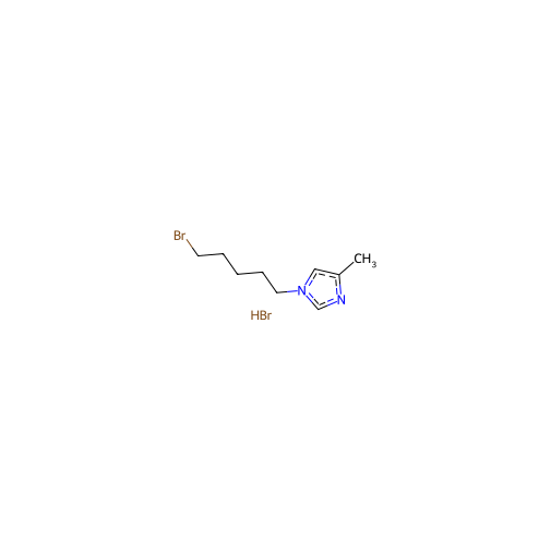 Br.Cc1cn(CCCCCBr)cn1